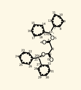 O=C(CC(=O)O[I+](c1ccccc1)c1ccccc1)O[I+](c1ccccc1)c1ccccc1